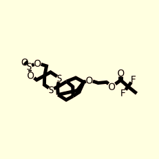 CC(F)(F)C(=O)OCCOC12CC3CC(C1)C1(SCC4(COS(=O)OC4)CS1)C(C3)C2